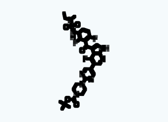 CCN(C)S(=O)(=O)Nc1ccc(F)c(C(=O)c2c[nH]c3ncc(-c4cnc(N5CCN(C(=O)OC(C)(C)C)CC5)nc4)c(F)c23)c1F